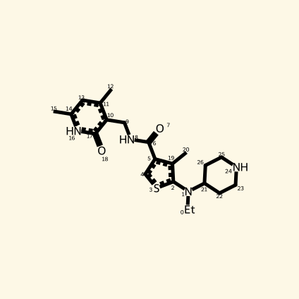 CCN(c1scc(C(=O)NCc2c(C)cc(C)[nH]c2=O)c1C)C1CCNCC1